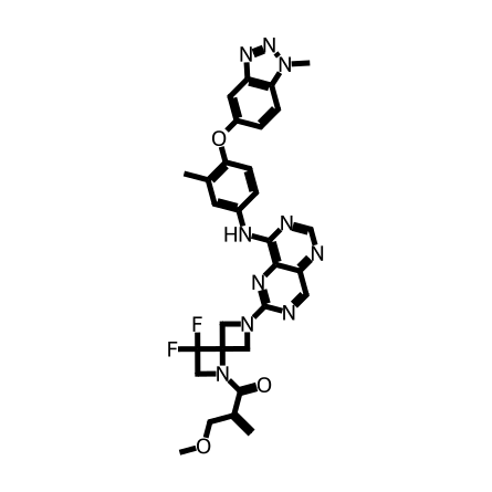 C=C(COC)C(=O)N1CC(F)(F)C12CN(c1ncc3ncnc(Nc4ccc(Oc5ccc6c(c5)nnn6C)c(C)c4)c3n1)C2